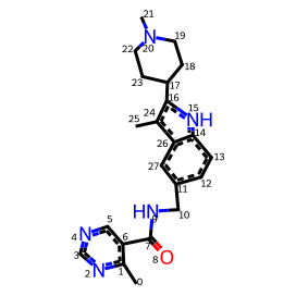 Cc1ncncc1C(=O)NCc1ccc2[nH]c(C3CCN(C)CC3)c(C)c2c1